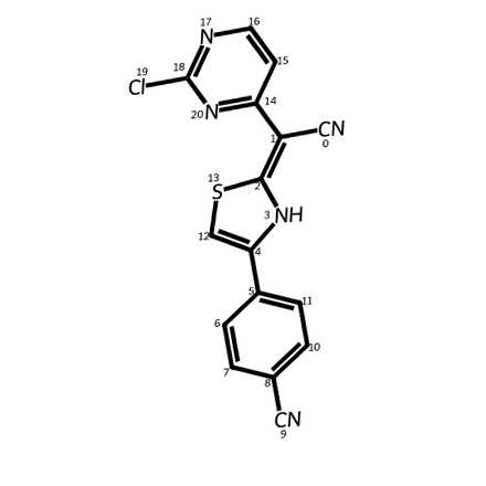 N#CC(=C1NC(c2ccc(C#N)cc2)=CS1)c1ccnc(Cl)n1